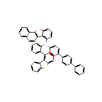 c1ccc(-c2ccc(-c3ccc(N(c4ccccc4-c4cccc5sc6ccccc6c45)c4cccc5oc6c7ccccc7ccc6c45)cc3)cc2)cc1